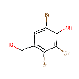 OCc1cc(Br)c(O)c(Br)c1Br